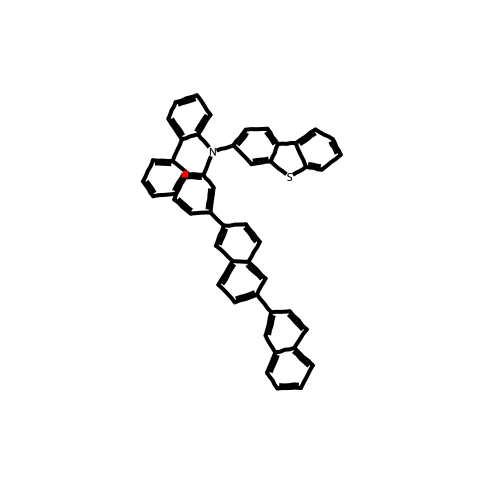 c1ccc(-c2ccccc2N(c2cccc(-c3ccc4cc(-c5ccc6ccccc6c5)ccc4c3)c2)c2ccc3c(c2)sc2ccccc23)cc1